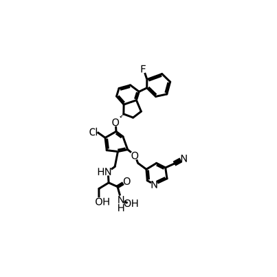 N#Cc1cncc(COc2cc(O[C@H]3CCc4c(-c5ccccc5F)cccc43)c(Cl)cc2CNC(CO)C(=O)NO)c1